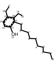 CCCCCCCCCCc1c(O)ccc(CC)c1CC